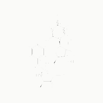 CC(C)OC(=O)[C@@H](C)N[P@](=S)(OC[C@H]1O[C@@H](n2cc(F)c(=O)[nH]c2=O)[C@@](F)(Cl)[C@@H]1O)Oc1ccccc1